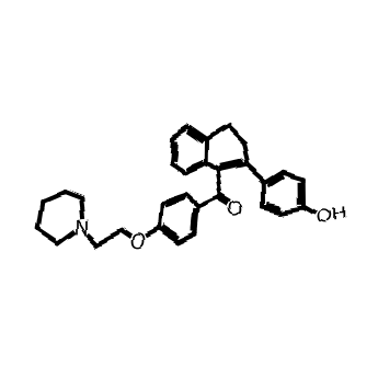 O=C(C1=C(c2ccc(O)cc2)CCc2ccccc21)c1ccc(OCCN2CCCCC2)cc1